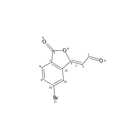 O=C/C=C1\OC(=O)c2ccc(Br)cc21